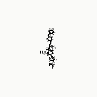 C[C@@H]1CN(c2ncc(OC(F)F)cn2)C[C@@H](C)N1C(=O)NCCC1CCN(Cc2ccccc2)CC1